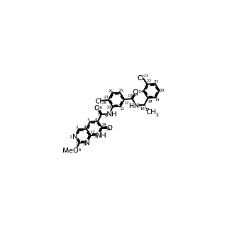 COc1ncc2cc(C(=O)Nc3cc(C(=O)N[C@@H](C)c4cccc(Cl)c4)ccc3Cl)c(=O)[nH]c2n1